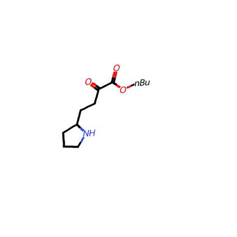 CCCCOC(=O)C(=O)CCC1CCCN1